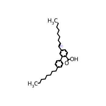 CCCCCCC/C=C/c1ccc(C(=O)O)c(-c2ccc(CCCCCCCC)cc2)c1